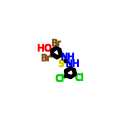 Oc1c(Br)cc(NC(=S)Nc2cc(Cl)cc(Cl)c2)cc1Br